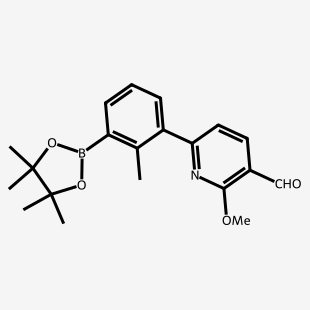 COc1nc(-c2cccc(B3OC(C)(C)C(C)(C)O3)c2C)ccc1C=O